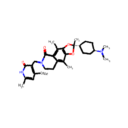 COc1cc(C)[nH]c(=O)c1CN1CCc2c(C)c3c(c(C)c2C1=O)OC(C)([C@H]1CC[C@H](N(C)C)CC1)O3